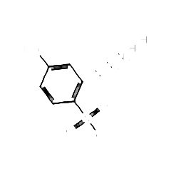 O=S(=O)([O-])c1ccc(O)cc1.[H-].[H-].[Na+].[Na+].[Na+]